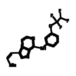 CCCC/C=C\c1cnc2c(Nc3cccc(OC(F)(F)C(F)F)c3)nccn12